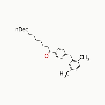 CCCCCCCCCCCCCCCCC(=O)c1ccc(Cc2cc(C)ccc2C)cc1